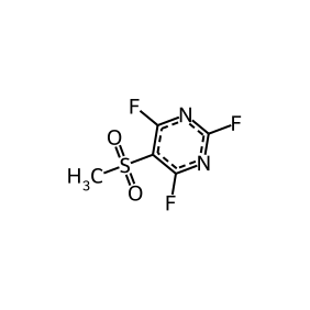 CS(=O)(=O)c1c(F)nc(F)nc1F